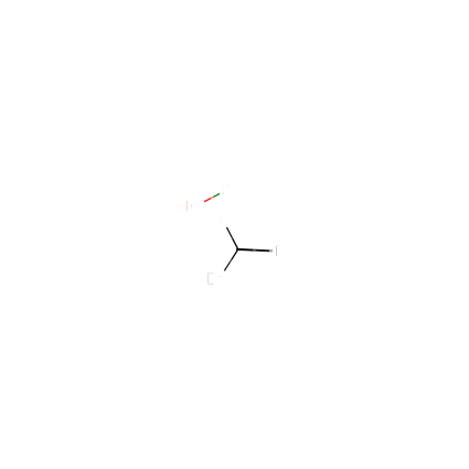 CCC(CC)C(C)C.OCl